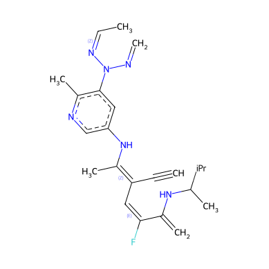 C#CC(/C=C(/F)C(=C)NC(C)C(C)C)=C(/C)Nc1cnc(C)c(N(N=C)/N=C\C)c1